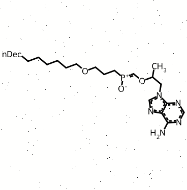 CCCCCCCCCCCCCCCCOCCC/[P+]([O-])=C/OC(C)Cn1cnc2c(N)ncnc21